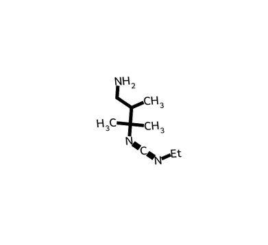 CCN=C=NC(C)(C)C(C)CN